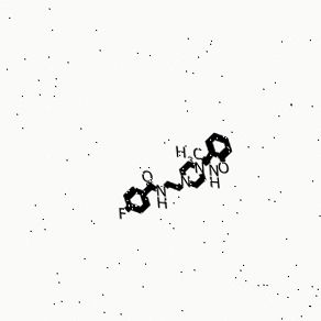 CC1(N2CCN(CCNC(=O)c3ccc(F)cc3)CC2)NOc2ccccc21